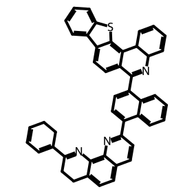 C1=CCCC(C2=Nc3c(ccc4ccc(-c5ccc(C6=NC7C=CC=CC7c7c6ccc6c7sc7ccccc76)c6ccccc56)nc34)CC2)=C1